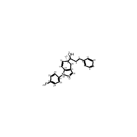 C[C@@]1(C(O)CCc2ccccc2)C=Cc2c(cnn2-c2ccc(F)cc2)C1